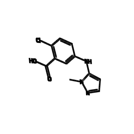 Cn1nccc1Nc1ccc(Cl)c(C(=O)O)c1